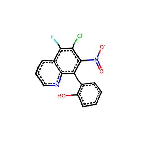 O=[N+]([O-])c1c(Cl)c(F)c2cccnc2c1-c1ccccc1O